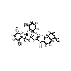 CC(C)(CC(O)(CC(=O)Nc1ccc2c(c1)COC2=O)Cc1cccc(F)c1)c1cc(F)ccc1O